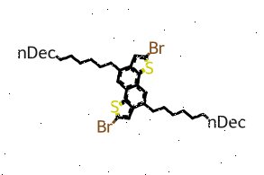 CCCCCCCCCCCCCCCCc1cc2c(cc(CCCCCCCCCCCCCCCC)c3cc(Br)sc32)c2sc(Br)cc12